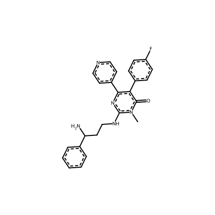 Cn1c(NCCC(N)c2ccccc2)nc(-c2ccncc2)c(-c2ccc(F)cc2)c1=O